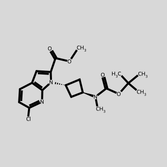 COC(=O)c1cc2ccc(Cl)nc2n1[C@H]1C[C@H](N(C)C(=O)OC(C)(C)C)C1